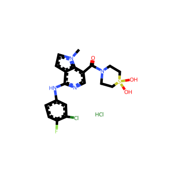 Cl.Cn1ccc2c(Nc3ccc(F)c(Cl)c3)ncc(C(=O)N3CCS(O)(O)CC3)c21